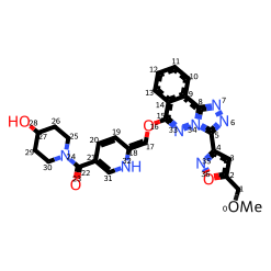 COCc1cc(-c2nnc3c4ccccc4c(OC=C4C=CC(C(=O)N5CCC(O)CC5)=CN4)nn23)no1